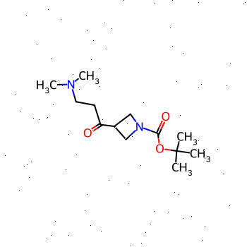 CN(C)CCC(=O)C1CN(C(=O)OC(C)(C)C)C1